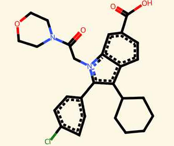 O=C(O)c1ccc2c(C3CCCCC3)c(-c3ccc(Cl)cc3)n(CC(=O)N3CCOCC3)c2c1